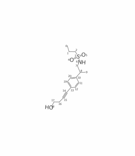 CCCS(=O)(=O)NCC(C)c1ccc(C#CCCO)cc1